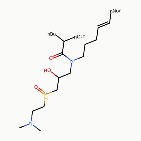 CCCCCCCCCC=CCCCN(CC(O)C[PH](=O)CCN(C)C)C(=O)C(CCCC)CCCCCCCC